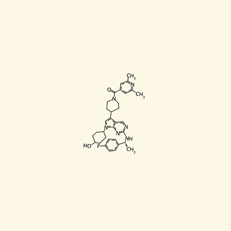 Cc1cc(C(=O)N2CCC(c3cn(C4CCC(O)CC4)c4nc(N[C@@H](C)c5ccc(F)cc5)ncc34)CC2)cc(C)n1